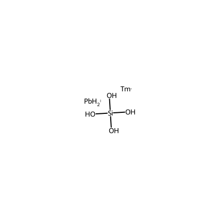 O[Si](O)(O)O.[PbH2].[Tm]